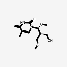 C=C1NC(=O)N([C@H](OC)[C@@H](CO)COC)C=C1C